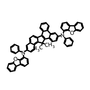 CC1(C)c2c(ccc3cc(N(c4ccccc4)c4cccc5c4oc4ccccc45)ccc23)-c2c1c1ccc(N(c3ccccc3)c3cccc4c3oc3ccccc34)cc1c1ccccc21